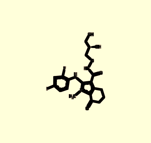 Cn1c(Nc2ccc(I)cc2F)c(C(=O)NOC[C@@H](O)CO)c2c1C(=O)CCC2